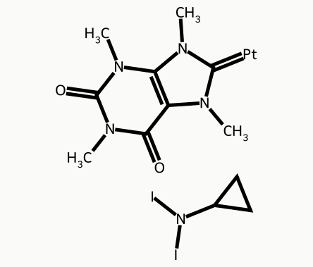 Cn1c(=O)c2c(n(C)c1=O)n(C)[c](=[Pt])n2C.IN(I)C1CC1